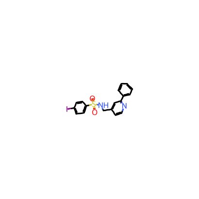 O=S(=O)(NCc1ccnc(-c2ccccc2)c1)c1ccc(I)cc1